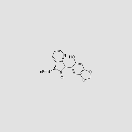 CCCCCN1C(=O)C(c2cc3c(cc2O)OCO3)c2ncccc21